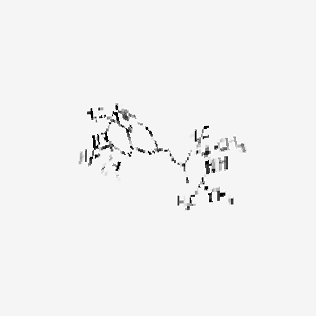 CC(C)CC(CCC1CC(C)(C)NC(C)(C)C1)CC1CC(C)(C)NC(C)(C)C1